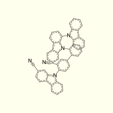 N#Cc1ccc2c3ccccc3n(-c3ccc(-c4ccccc4-n4c5ccccc5c5cccc(-n6c7ccccc7c7ccccc76)c54)cc3C#N)c2c1